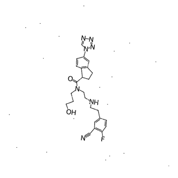 N#Cc1cc(CCNCCN(CCCO)C(=O)C2CCc3cc(-n4cnnn4)ccc32)ccc1F